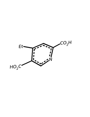 CCc1cc(C(=O)O)ncc1C(=O)O